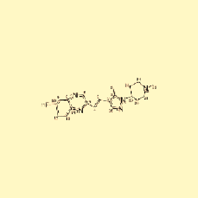 Cc1c(/C=C/c2cnc3cc(F)ccc3n2)cnn1C1CCN(C)CC1